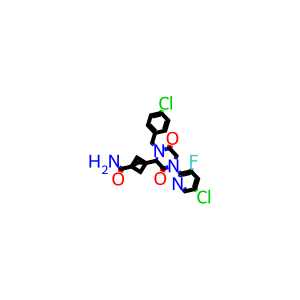 NC(=O)C12CC([C@@H]3C(=O)N(c4ncc(Cl)cc4F)CC(=O)N3Cc3ccc(Cl)cc3)(C1)C2